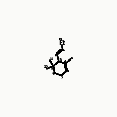 CC/C=C/C1C(C)=CCCC1(C)C